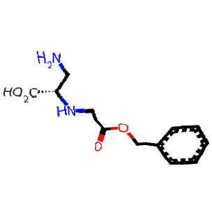 NC[C@H](NCC(=O)OCc1ccccc1)C(=O)O